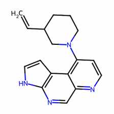 C=CC1CCCN(c2ccnc3cnc4[nH]ccc4c23)C1